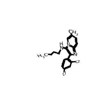 CCCCNc1c(-c2ccc(Cl)cc2Cl)nc2ccc(C)cn12